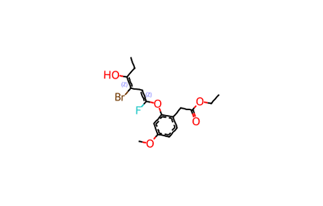 CCOC(=O)Cc1ccc(OC)cc1O/C(F)=C/C(Br)=C(/O)CC